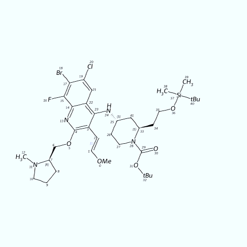 CO/C=C/c1c(OC[C@H]2CCCN2C)nc2c(F)c(Br)c(Cl)cc2c1N[C@H]1CCN(C(=O)OC(C)(C)C)[C@H](CCO[Si](C)(C)C(C)(C)C)C1